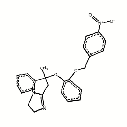 CC(CC1=NCCN1)(Oc1ccccc1OCc1ccc([N+](=O)[O-])cc1)c1ccccc1